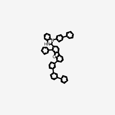 c1ccc(-c2ccc(N3c4ccccc4NC3c3ccc4c(oc5c(-c6cccc(-c7cccc(-c8ccccc8)c7)c6)cccc54)c3-c3ccccc3)cc2)cc1